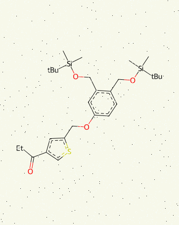 CCC(=O)c1csc(COc2ccc(CO[Si](C)(C)C(C)(C)C)c(CO[Si](C)(C)C(C)(C)C)c2)c1